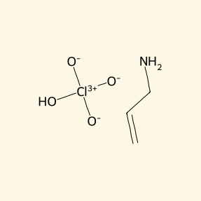 C=CCN.[O-][Cl+3]([O-])([O-])O